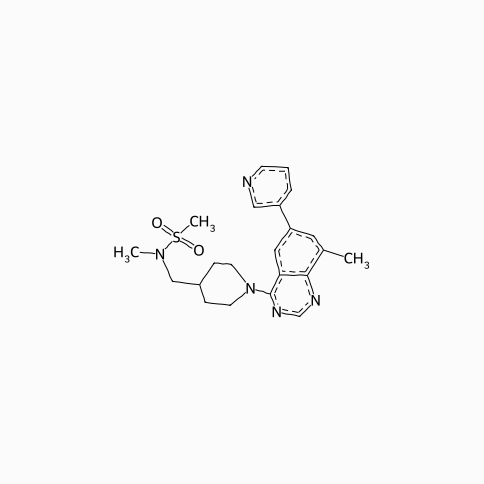 Cc1cc(-c2cccnc2)cc2c(N3CCC(CN(C)S(C)(=O)=O)CC3)ncnc12